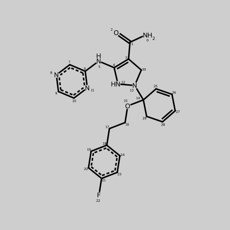 NC(=O)C1=C(Nc2cnccn2)NN(C2(OCCc3ccc(F)cc3)C=CC=CC2)C1